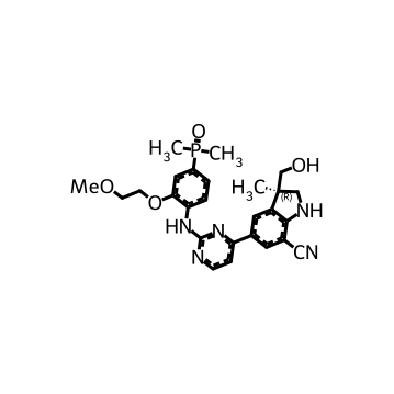 COCCOc1cc(P(C)(C)=O)ccc1Nc1nccc(-c2cc(C#N)c3c(c2)[C@@](C)(CO)CN3)n1